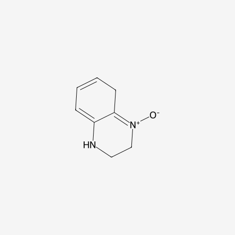 [O-][N+]1=C2CC=CC=C2NCC1